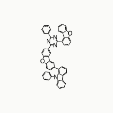 c1ccc(-c2nc(-c3ccc4oc5ccc(-c6cccc7c8ccccc8n(-c8ccccc8)c67)cc5c4c3)nc(-c3cccc4oc5ccccc5c34)n2)cc1